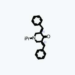 CC(C)N1C/C(=C\c2ccccc2)C(=O)/C(=C/c2ccccc2)C1